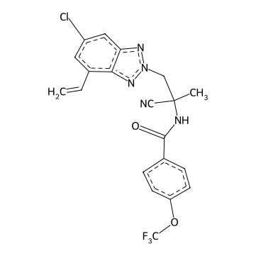 C=Cc1cc(Cl)cc2nn(CC(C)(C#N)NC(=O)c3ccc(OC(F)(F)F)cc3)nc12